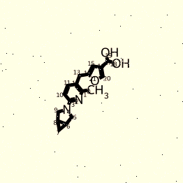 Cc1nc(N2CC3CC3C2)ccc1Cc1cc(C(O)O)co1